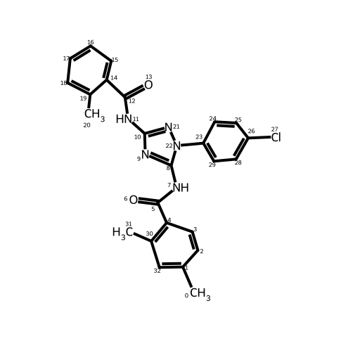 Cc1ccc(C(=O)Nc2nc(NC(=O)c3ccccc3C)nn2-c2ccc(Cl)cc2)c(C)c1